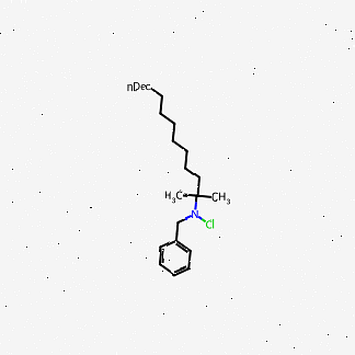 CCCCCCCCCCCCCCCCCC(C)(C)N(Cl)Cc1ccccc1